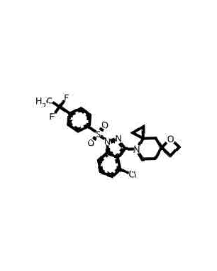 CC(F)(F)c1ccc(S(=O)(=O)n2nc(N3CCC4(CCO4)CC34CC4)c3c(Cl)cccc32)cc1